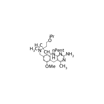 CCCCCNc1nc(N)nc(C)c1Cc1ccc(CN(C)C(C)(C)CCOC(C)C)cc1OC